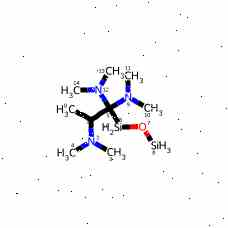 CC(N(C)C)C([SiH2]O[SiH3])(N(C)C)N(C)C